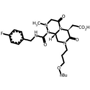 CCCCOCCCN1C[C@H]2N(C(=O)CN(C)N2C(=O)NCc2ccc(F)cc2)[C@@H](CC(=O)O)C1=O